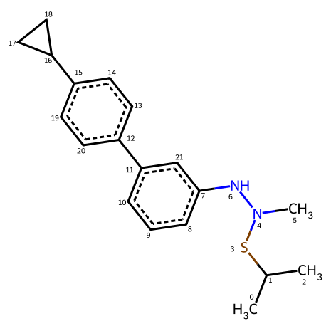 CC(C)SN(C)Nc1cccc(-c2ccc(C3CC3)cc2)c1